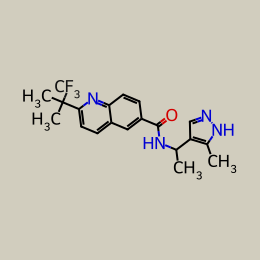 Cc1[nH]ncc1C(C)NC(=O)c1ccc2nc(C(C)(C)C(F)(F)F)ccc2c1